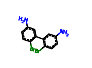 Nc1ccc(Br)c(-c2cc(N)ccc2Br)c1